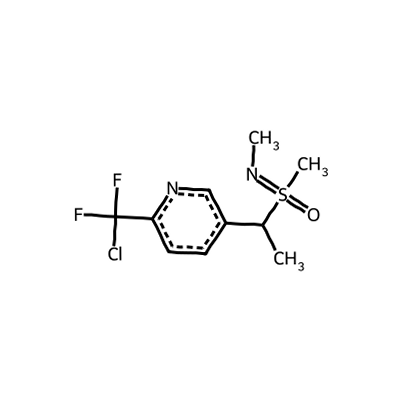 CN=S(C)(=O)C(C)c1ccc(C(F)(F)Cl)nc1